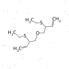 C=CC(COCC(C=C)SCC)SCC